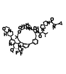 CO[C@@H](C)c1ncc([C@@H]2CCN3CCOC[C@@H]3C2)cc1-c1c2c3cc(ccc3n1CC(F)(F)F)-c1cccc(c1)C[C@H](NC(=O)[C@H](C(C)C)N1CC[C@]3(CCN(C(=O)[C@H]4[C@@H](C5CC5)N4C)C3)C1)C(=O)N1CCC[C@H](N1)C(=O)OCC(C)(C)C2